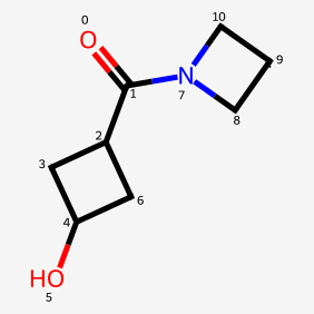 O=C(C1CC(O)C1)N1C[CH]C1